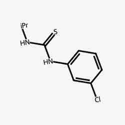 CC(C)NC(=S)Nc1cccc(Cl)c1